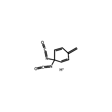 C=C1C=CC(N=C=O)(N=C=O)C=C1.[H+]